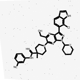 CC1(C(=N)Nc2cccc(C#N)c2)CCN(c2nc3c(nc2CO)c(-c2ccc4cc[nH]c4c2Cl)nn3C2CCCCO2)CC1